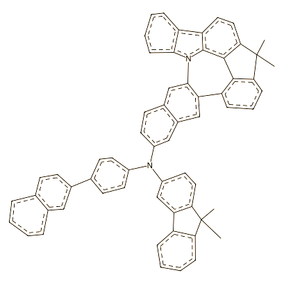 CC1(C)c2ccccc2-c2cc(N(c3ccc(-c4ccc5ccccc5c4)cc3)c3ccc4cc5c(cc4c3)-c3cccc4c3-c3c(ccc6c7ccccc7n-5c36)C4(C)C)ccc21